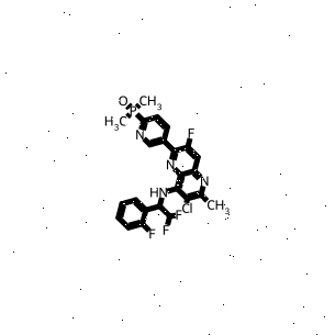 Cc1nc2cc(F)c(-c3ccc(P(C)(C)=O)nc3)nc2c(NC(c2ccccc2F)C(F)F)c1Cl